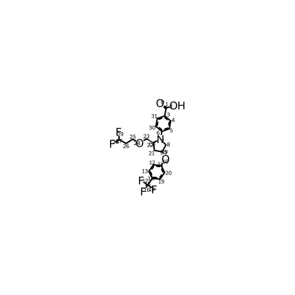 O=C(O)c1ccc(N2C[C@H](Oc3ccc(C(F)(F)F)cc3)C[C@H]2COCCC(F)F)cc1